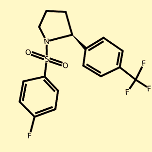 O=S(=O)(c1ccc(F)cc1)N1CCC[C@H]1c1ccc(C(F)(F)F)cc1